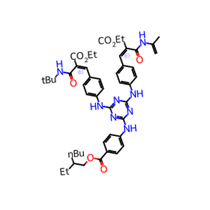 C=C(C)NC(=O)/C(=C\c1ccc(Nc2nc(Nc3ccc(/C=C(\C(=O)NC(C)(C)C)C(=O)OCC)cc3)nc(Nc3ccc(C(=O)OCC(CC)CCCC)cc3)n2)cc1)C(=O)OCC